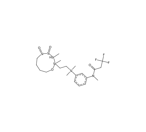 CN(C(=O)CC(F)(F)F)c1cccc([Si](C)(C)CC[Si]2(C)OCCCC[Si](=O)[Si](=O)[SiH]2C)c1